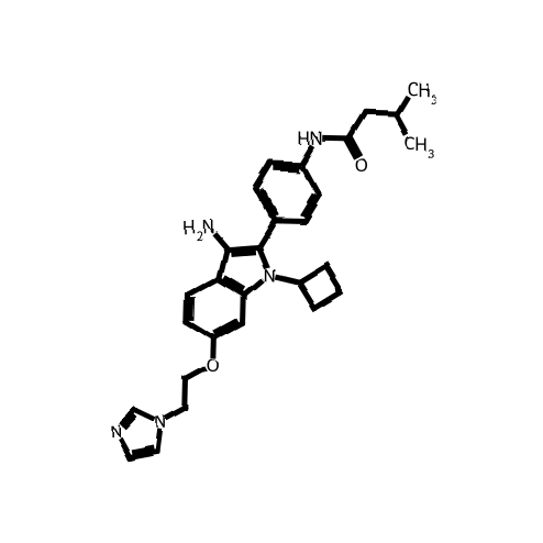 CC(C)CC(=O)Nc1ccc(-c2c(N)c3ccc(OCCn4ccnc4)cc3n2C2CCC2)cc1